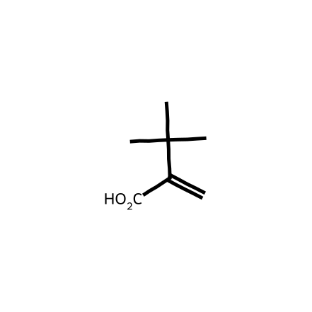 C=C(C(=O)O)C(C)(C)C